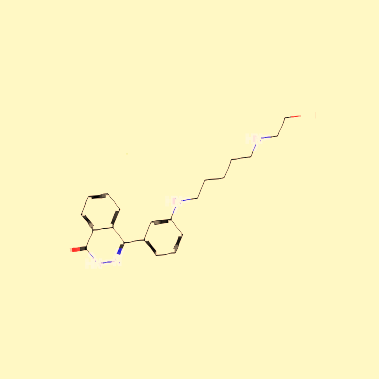 Cl.O=c1[nH]nc(-c2cccc(NCCCCCNCCO)c2)c2ccccc12